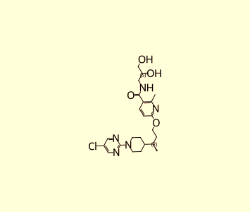 Cc1nc(OCC[C@@H](C)C2CCN(c3ncc(Cl)cn3)CC2)ccc1C(=O)NC[C@H](O)CO